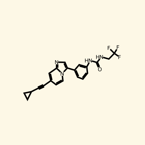 O=C(NCC(F)(F)F)Nc1cccc(-c2cnc3cc(C#CC4CC4)ccn23)c1